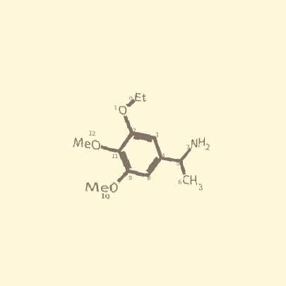 CCOc1cc(C(C)N)cc(OC)c1OC